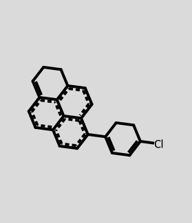 ClC1=CC=C(c2ccc3ccc4c5c(ccc2c35)CCC=4)CC1